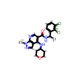 CCC(NC(=O)c1cnc2c(cnn2CC)c1NC1CCOCC1)c1cccc(Cl)c1Cl